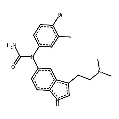 Cc1cc(N(C(N)=O)c2ccc3[nH]cc(CCN(C)C)c3c2)ccc1Br